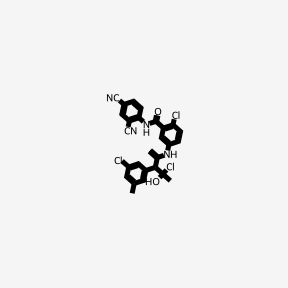 C=C(Nc1ccc(Cl)c(C(=O)Nc2ccc(C#N)cc2C#N)c1)C(c1cc(C)cc(Cl)c1)C(C)(O)Cl